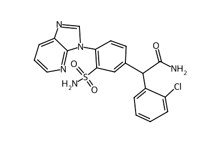 NC(=O)C(c1ccc(-n2cnc3cccnc32)c(S(N)(=O)=O)c1)c1ccccc1Cl